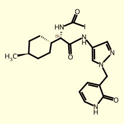 C[C@H]1CC[C@H]([C@H](NC(=O)I)C(=O)Nc2cnn(Cc3ccc[nH]c3=O)c2)CC1